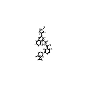 Cc1ccc(N2CCN(C)C3(CC3)C2)cc1C(=O)N[C@H](C)c1cc(-c2cnn(C)c2)nc2ccccc12